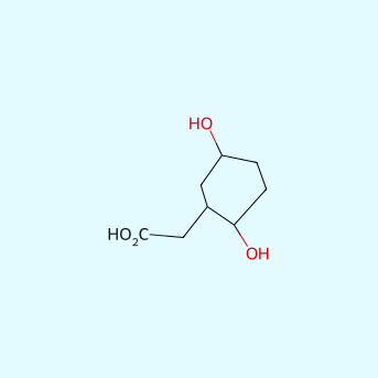 O=C(O)CC1CC(O)CCC1O